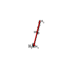 CCOCCOCCOCCOCCNC(=O)CCCCCCCCCCCCCCC(=O)OC(C)(C)C